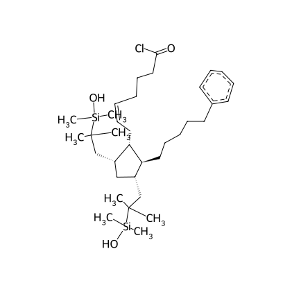 CC(C)(C[C@H]1C[C@@H](CC(C)(C)[Si](C)(C)O)[C@H](CCCCCc2ccccc2)[C@H]1C/C=C\CCCC(=O)Cl)[Si](C)(C)O